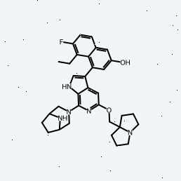 CCc1c(F)ccc2cc(O)cc(-c3c[nH]c4c(N5CC6CCC(C5)N6)nc(OCC56CCCN5CCC6)cc34)c12